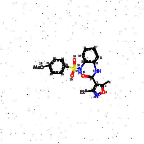 CCc1noc(C)c1C(=O)Nc1ccccc1NS(=O)(=O)c1ccc(OC)cc1